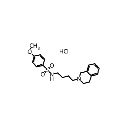 COc1ccc(S(=O)(=O)NCCCCN2CCc3ccccc3C2)cc1.Cl